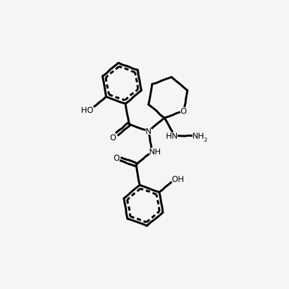 NNC1(N(NC(=O)c2ccccc2O)C(=O)c2ccccc2O)CCCCO1